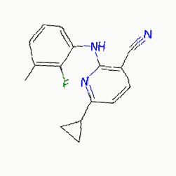 Cc1cccc(Nc2nc(C3CC3)ccc2C#N)c1F